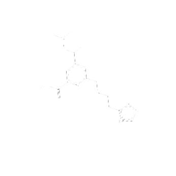 COC(=O)c1cc(C(O[SiH](C)C)C(C)(C)C)cc(CNCCc2cnc[nH]2)n1